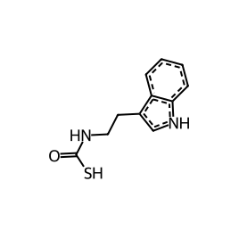 O=C(S)NCCc1c[nH]c2ccccc12